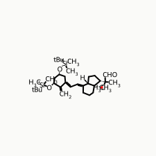 C=C1/C(=C/C=C2\CCC[C@]3(C)[C@@H](C(C)(C)C=O)CC[C@@H]23)C[C@@H](O[Si](C)(C)C(C)(C)C)C[C@@H]1O[Si](C)(C)C(C)(C)C